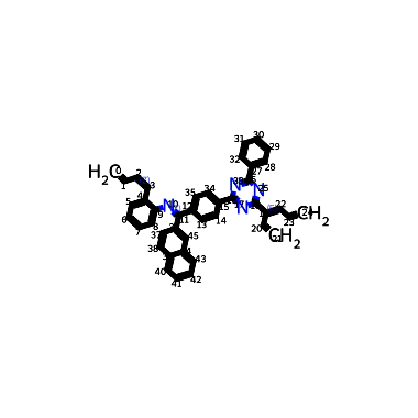 C=C/C=C\c1ccccc1/N=C(/c1ccc(-c2nc(/C(C=C)=C/C=C)nc(-c3ccccc3)n2)cc1)c1ccc2ccccc2c1